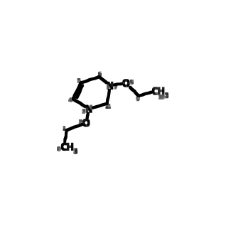 CCON1C=CCN(OCC)C1